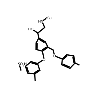 CS(=O)(=O)O.Cc1ccc(OCc2cc(C(O)CNC(C)(C)C)ccc2Oc2cccc(C)c2)cc1